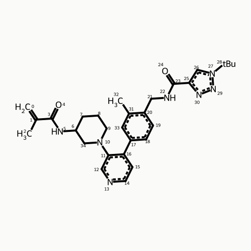 C=C(C)C(=O)NC1CCCN(c2cnccc2-c2ccc(CNC(=O)c3cn(C(C)(C)C)nn3)c(C)c2)C1